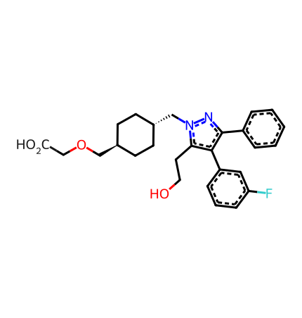 O=C(O)COC[C@H]1CC[C@H](Cn2nc(-c3ccccc3)c(-c3cccc(F)c3)c2CCO)CC1